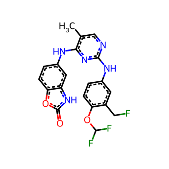 Cc1cnc(Nc2ccc(OC(F)F)c(CF)c2)nc1Nc1ccc2oc(=O)[nH]c2c1